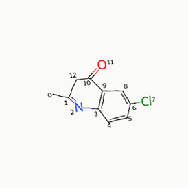 CC1=Nc2ccc(Cl)cc2C(=O)C1